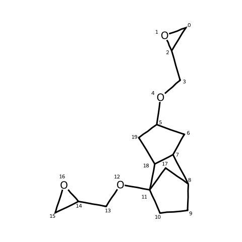 C1OC1COC1CC2C3CCC(OCC4CO4)(C3)C2C1